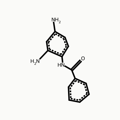 Nc1ccc(NC(=O)c2ccccc2)c(N)c1